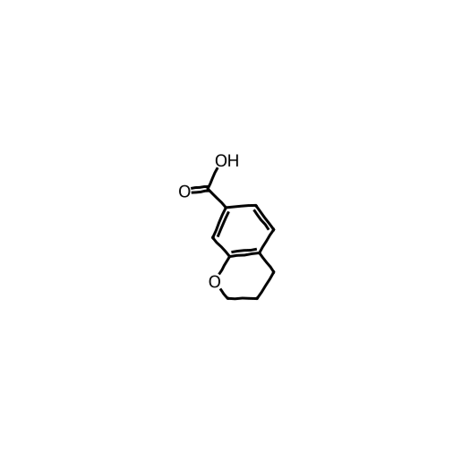 O=C(O)c1ccc2c(c1)OCCC2